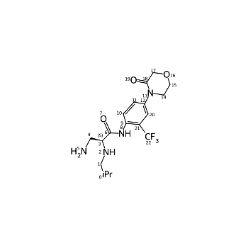 CC(C)CN[C@@H](CN)C(=O)Nc1ccc(N2CCOCC2=O)cc1C(F)(F)F